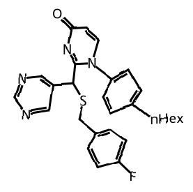 CCCCCCc1ccc(-n2ccc(=O)nc2C(SCc2ccc(F)cc2)c2cncnc2)cc1